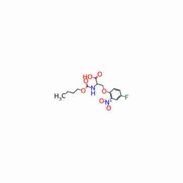 CCCCOC(=O)NC(COc1ccc(F)cc1[N+](=O)[O-])C(=O)O